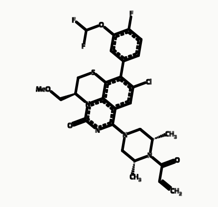 C=CC(=O)N1[C@H](C)CN(c2nc(=O)n3c4c(c(-c5ccc(F)c(OC(F)F)c5)c(Cl)cc24)SC[C@@H]3COC)C[C@@H]1C